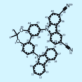 CC1(C)Oc2ccc(-n3c4ccccc4c4ccccc43)cc2-c2cc(-n3c4ccc(C#N)cc4c4cc(C#N)ccc43)ccc2O1